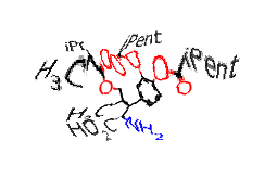 CCCC(C)C(=O)Oc1ccc(C(C(C)COC(=O)C(C)C(C)C)[C@H](N)C(=O)O)cc1OC(=O)C(C)CCC